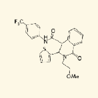 COCCN1C(=O)c2ccccc2C(C(=O)Nc2ccc(C(F)(F)F)cc2)C1c1cccs1